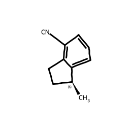 [C-]#[N+]c1cccc2c1CC[C@@H]2C